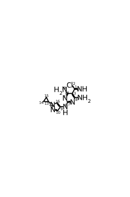 N=C(Cl)c1c(N)nc(Nc2cnn(C3CC3)c2)nc1N